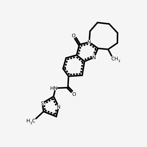 Cc1cnc(NC(=O)c2ccc3c(=O)n4c(nc3c2)C(C)CCCCC4)s1